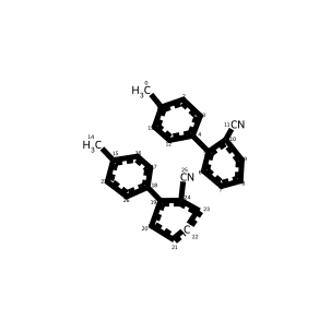 Cc1ccc(-c2ccccc2C#N)cc1.Cc1ccc(-c2ccccc2C#N)cc1